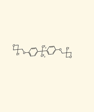 CCC1(COc2ccc(C(c3ccc(OCC4(CC)COC4)cc3)(C(F)(F)F)C(F)(F)F)cc2)COC1